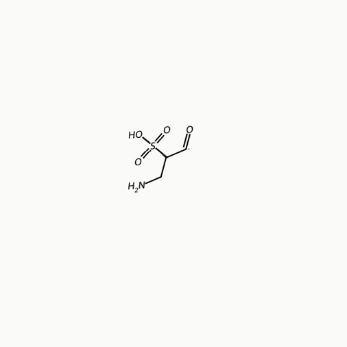 NCC([C]=O)S(=O)(=O)O